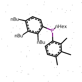 CCCCCCP(c1ccc(C)c(C)c1C)c1ccc(CCCC)c(CCCC)c1CCCC